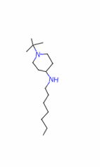 CCCCCCCNC1CCN(C(C)(C)C)CC1